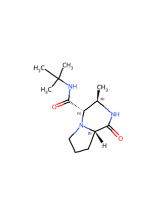 C[C@H]1NC(=O)[C@@H]2CCCN2[C@@H]1C(=O)NC(C)(C)C